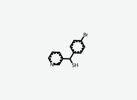 SC(c1ccc(Br)cc1)c1cccnc1